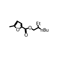 CCCCC(CC)COC(=O)c1ccc(C)o1